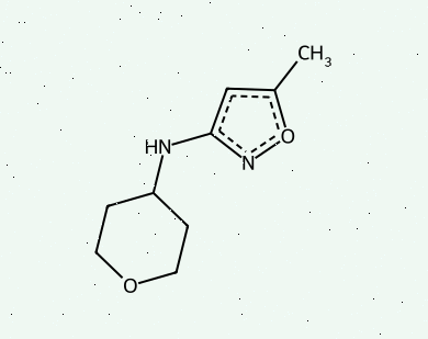 Cc1cc(NC2CCOCC2)no1